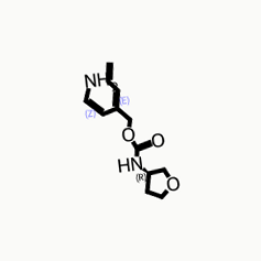 C=C/C=C(\C=C/N)COC(=O)N[C@@H]1CCOC1